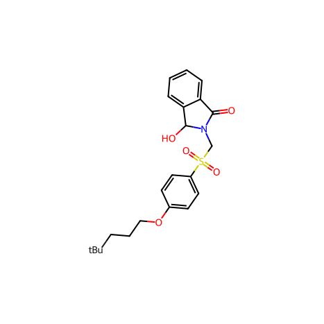 CC(C)(C)CCCOc1ccc(S(=O)(=O)CN2C(=O)c3ccccc3C2O)cc1